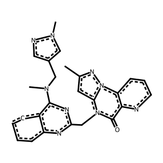 Cc1cc2n(Cc3nc(N(C)Cc4cnn(C)c4)c4ccccc4n3)c(=O)c3ncccc3n2n1